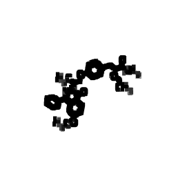 CCOC(Cc1ccc(OCC(C)n2nc(-c3ccccc3)c3cc(OC)ccc3c2=O)cc1)C(N)=O